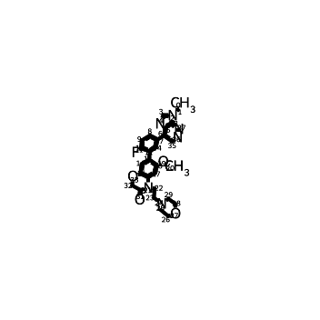 CCn1cnc2c(-c3ccc(F)c(-c4cc5c(cc4OC)N(CCN4CCOCC4)C(=O)CO5)c3)cnnc21